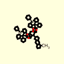 Cc1cccc2cc3cc(-c4c5cccc(-c6cccc7c6C(c6ccccc6)(c6ccccc6)c6ccccc6N7c6ccccc6)c5cc5c(-c6cccc7c6C(c6ccccc6)(c6ccccc6)c6ccccc6N7c6ccccc6)cccc45)ccc3cc12